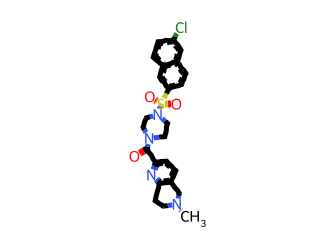 CN1CCc2nc(C(=O)N3CCN(S(=O)(=O)c4ccc5cc(Cl)ccc5c4)CC3)ccc2C1